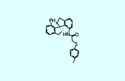 Cc1ccc(SCC(=O)Nc2cccc3c2[C@]2(CCc4cccc(P)c42)CC3)cc1